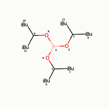 CCC(C)C(OB(OC(C(C)CC)C(C)CC)OC(C(C)CC)C(C)CC)C(C)CC